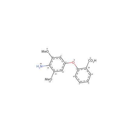 COc1cc(Oc2ccccc2C(=O)O)cc(OC)c1N